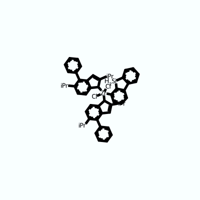 CC(C)C1=Cc2c(ccc(C(C)C)c2-c2ccccc2)[CH]1[Zr]([Cl])([Cl])([c]1cccc2c1[SiH2]c1ccccc1-2)[CH]1C(C(C)C)=Cc2c1ccc(C(C)C)c2-c1ccccc1